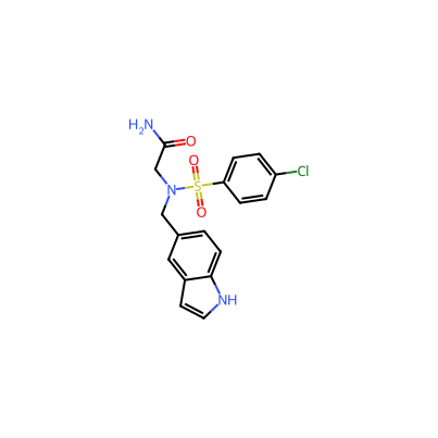 NC(=O)CN(Cc1ccc2[nH]ccc2c1)S(=O)(=O)c1ccc(Cl)cc1